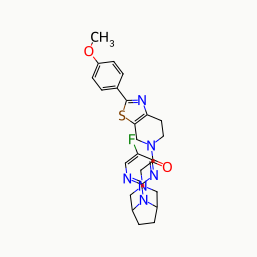 COc1ccc(-c2nc3c(s2)CN(C(=O)CN2CC4CCC(C2)N4c2ncc(F)cn2)CC3)cc1